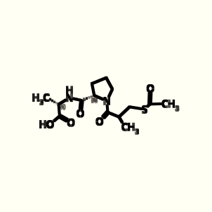 CC(=O)SCC(C)C(=O)N1CCC[C@H]1C(=O)N[C@@H](C)C(=O)O